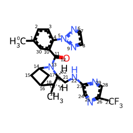 Cc1ccc(-n2nccn2)c(C(=O)N2C3CC(C3)[C@H](C)[C@@H]2CNc2cnc(C(F)(F)F)cn2)c1